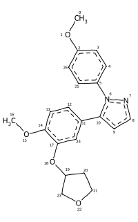 COc1ccc(-n2nccc2-c2ccc(OC)c(OC3CCOC3)c2)cc1